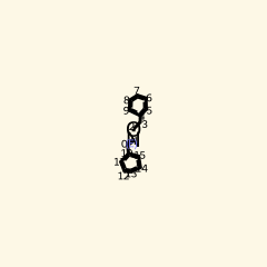 C(=N\OCc1ccccc1)/c1ccccc1